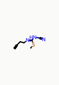 C#CCC/N=C(/NC#N)SC